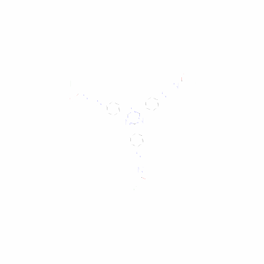 O=C(CCl)N1CCN(c2ccc(-c3nc(-c4ccc(N5CCN(C(=O)CCl)CC5)cc4)nc(-c4ccc(N5CCN(C(=O)CCl)CC5)cc4)n3)cc2)CC1